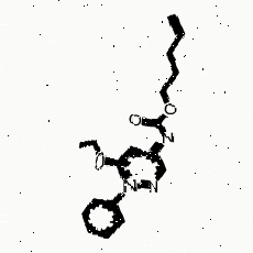 C=CCCCOC(=O)/N=c1/cnn(-c2ccccc2)c(OCC)c1